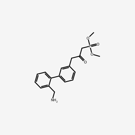 COP(=O)(CC(=O)Cc1cccc(-c2ccccc2CN)c1)OC